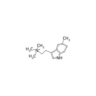 Cc1ccc2[nH]cc(CC[N+](C)(C)C)c2c1